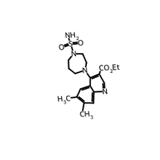 CCOC(=O)c1cnc2cc(C)c(C)cc2c1N1CCCN(S(N)(=O)=O)CC1